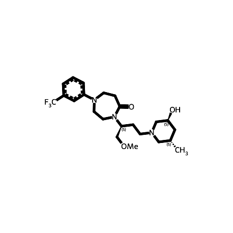 COC[C@H](CCN1C[C@@H](C)C[C@H](O)C1)N1CCN(c2cccc(C(F)(F)F)c2)CCC1=O